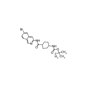 CC(C)(C)OC(=O)NC1CCC(C(=O)Nc2cc3cc(Br)ccc3cn2)CC1